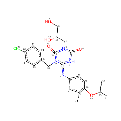 Cc1cc(/N=c2\[nH]c(=O)n(C[C@H](O)CO)c(=O)n2Cc2ccc(Cl)cc2)ccc1OC(C)C